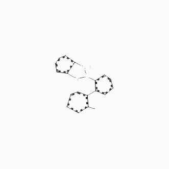 Brc1ccccc1-c1ccccc1B1Nc2ccccc2N1